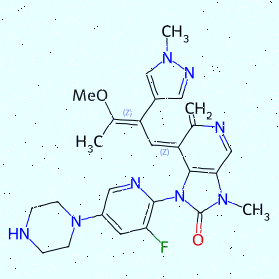 C=c1ncc2c(/c1=C/C(=C(\C)OC)c1cnn(C)c1)n(-c1ncc(N3CCNCC3)cc1F)c(=O)n2C